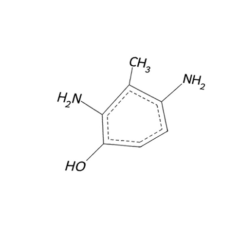 Cc1c(N)ccc(O)c1N